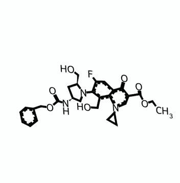 CCOC(=O)c1cn(C2CC2)c2c(CO)c(N3C[C@H](NC(=O)OCc4ccccc4)C[C@H]3CO)c(F)cc2c1=O